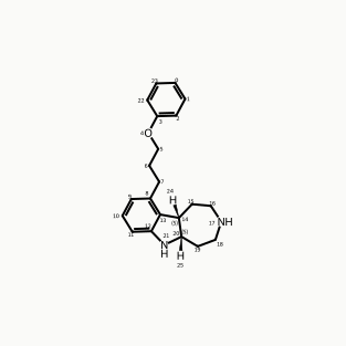 c1ccc(OCCCc2cccc3c2[C@@H]2CCNCC[C@@H]2N3)cc1